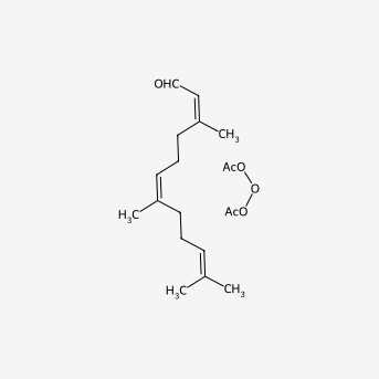 CC(=O)OOOC(C)=O.CC(C)=CCCC(C)=CCCC(C)=CC=O